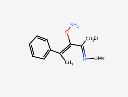 CCOC(=O)C(=NOC)C(ON)=C(C)c1ccccc1